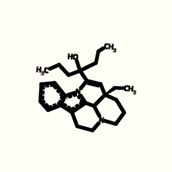 CCCC(O)(CCC)C1=C[C@]2(CC)CCCN3CCc4c(n1c1ccccc41)C32